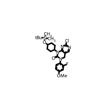 COc1ccc(N2Cc3cnc(Cl)nc3N(C3CCC(O[Si](C)(C)C(C)(C)C)CC3)C2=O)c(F)c1